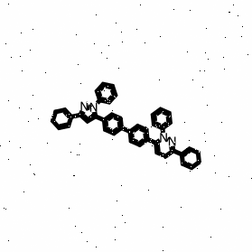 C1=CC(C2=NN(c3ccccc3)C(c3ccc(-c4ccc(-c5cc(C6=CCCC=C6)nn5-c5ccccc5)cc4)cc3)=CC2)=CCC1